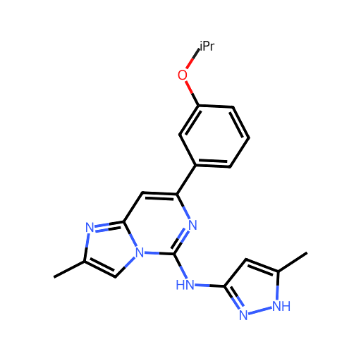 Cc1cn2c(Nc3cc(C)[nH]n3)nc(-c3cccc(OC(C)C)c3)cc2n1